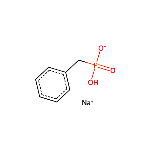 O=P([O-])(O)Cc1ccccc1.[Na+]